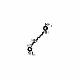 Nc1ccc(NCCCCCCNCCCNc2ccc(N)cc2)cc1